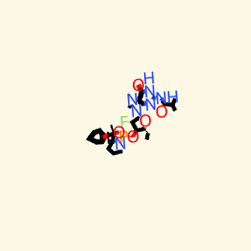 CC[C@H]1O[C@@H](n2cnc3c(=O)[nH]c(NC(=O)C(C)C)nc32)[C@@H](F)C1O[P@]1O[C@@](C)(c2ccccc2)[C@H]2CCCN21